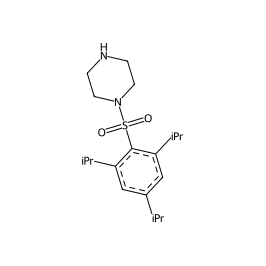 CC(C)c1cc(C(C)C)c(S(=O)(=O)N2CCNCC2)c(C(C)C)c1